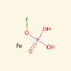 O=P(O)(O)OF.[Fe]